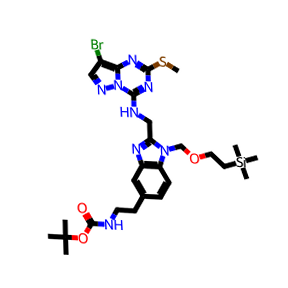 CSc1nc(NCc2nc3cc(CCNC(=O)OC(C)(C)C)ccc3n2COCC[Si](C)(C)C)n2ncc(Br)c2n1